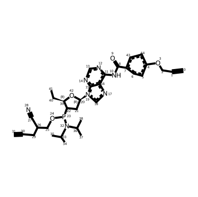 C#CCOc1ccc(C(=O)Nc2ncnc3c2ncn3[C@H]2CC(P(OCC(C#N)CC#C)N(C(C)C)C(C)C)[C@@H](CC)O2)cc1